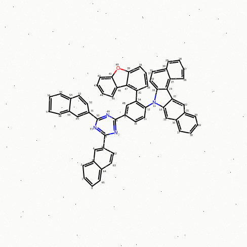 c1ccc2cc(-c3nc(-c4ccc(-n5c6cc7ccccc7cc6c6c7ccccc7ccc65)c(-c5cccc6oc7ccccc7c56)c4)nc(-c4ccc5ccccc5c4)n3)ccc2c1